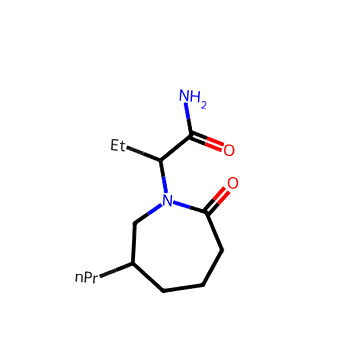 CCCC1CCCC(=O)N(C(CC)C(N)=O)C1